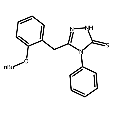 CCCCOc1ccccc1Cc1n[nH]c(=S)n1-c1ccccc1